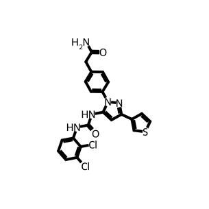 NC(=O)Cc1ccc(-n2nc(-c3ccsc3)cc2NC(=O)Nc2cccc(Cl)c2Cl)cc1